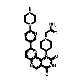 CN1CCN(c2ccc(-c3ccc4ncc5c(=O)[nH]c(=O)n(C6CCN(CC(N)=O)CC6)c5c4n3)cn2)CC1